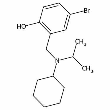 CC(C)N(Cc1cc(Br)ccc1O)C1CCCCC1